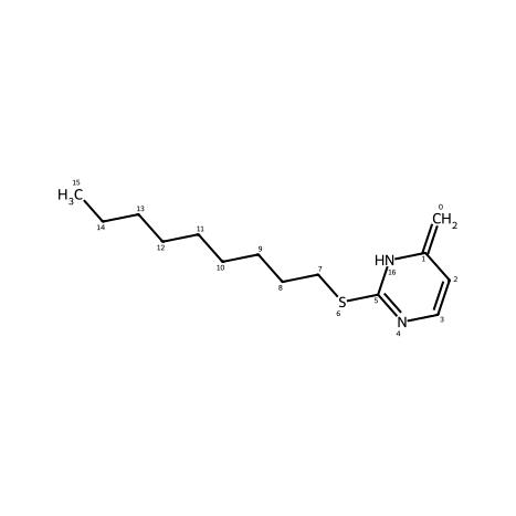 C=C1C=CN=C(SCCCCCCCCC)N1